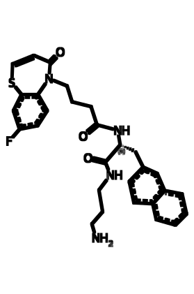 NCCCNC(=O)[C@@H](Cc1ccc2ccccc2c1)NC(=O)CCCN1C(=O)C=CSc2cc(F)ccc21